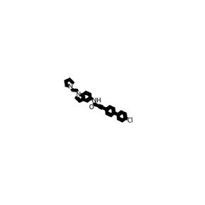 O=C(C#Cc1ccc(-c2ccc(Cl)cc2)cc1)Nc1ccc2c(ccn2CCN2CCCC2)c1